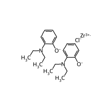 CCN(CC)c1ccccc1[O-].CCN(CC)c1ccccc1[O-].[Cl-].[Zr+3]